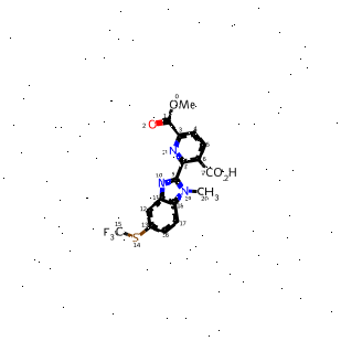 COC(=O)c1ccc(C(=O)O)c(-c2nc3cc(SC(F)(F)F)ccc3n2C)n1